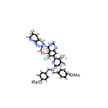 COc1ccc(CN(Cc2ccc(OC)cc2)c2cc(C)c(C(F)(F)F)c(-c3cc4ncnc5c4c(c3Cl)OCCN5Cc3cc(Cl)cnc3N)n2)cc1